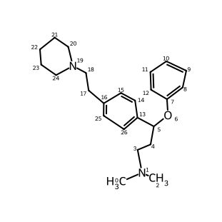 CN(C)CCC(Oc1ccccc1)c1ccc(CCN2CCCCC2)cc1